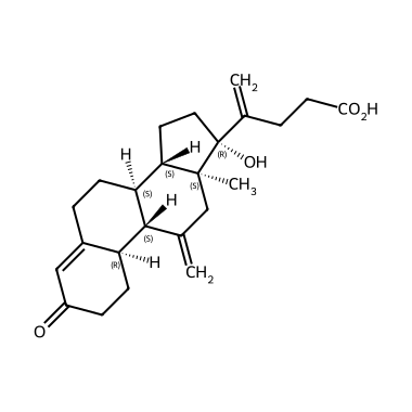 C=C1C[C@@]2(C)[C@@H](CC[C@@]2(O)C(=C)CCC(=O)O)[C@@H]2CCC3=CC(=O)CC[C@@H]3[C@@H]12